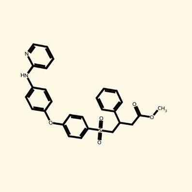 COC(=O)CC(CS(=O)(=O)c1ccc(Oc2ccc(Nc3ccccn3)cc2)cc1)c1ccccc1